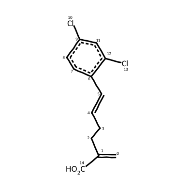 C=C(CCC=Cc1ccc(Cl)cc1Cl)C(=O)O